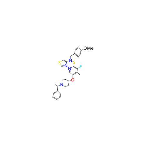 COc1ccc(CN(Sc2ncc(OC3CCN(C(C)c4ccccc4)CC3)c(C)c2F)c2cscn2)cc1